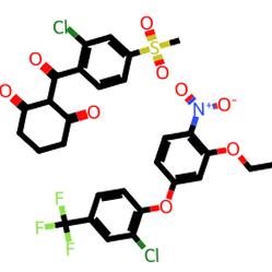 CCOc1cc(Oc2ccc(C(F)(F)F)cc2Cl)ccc1[N+](=O)[O-].CS(=O)(=O)c1ccc(C(=O)C2C(=O)CCCC2=O)c(Cl)c1